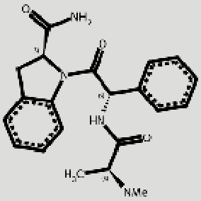 CN[C@@H](C)C(=O)N[C@H](C(=O)N1c2ccccc2C[C@H]1C(N)=O)c1ccccc1